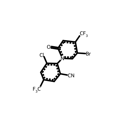 N#Cc1cc(C(F)(F)F)cc(Cl)c1-n1cc(Br)c(C(F)(F)F)cc1=O